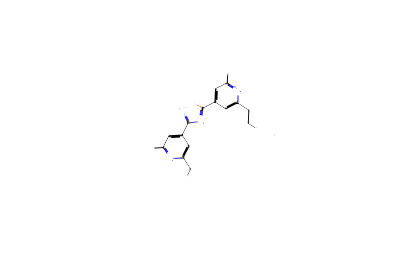 CCCc1cc(-c2nc(-c3cc(C)nc(CC)c3)no2)cc(C)n1